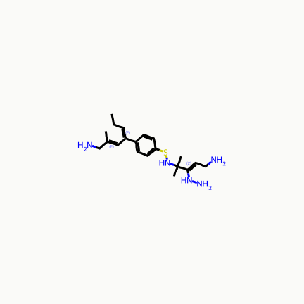 CC/C=C(\C=C(/C)CN)c1ccc(SNC(C)(C)/C(=C/CN)NN)cc1